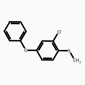 CSc1ccc(Oc2cc[c]cc2)cc1Cl